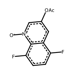 CC(=O)Oc1cc2c(F)ccc(F)c2[n+]([O-])c1